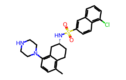 Cc1ccc(N2CCNCC2)c2c1CC[C@@H](NS(=O)(=O)c1ccc3c(Cl)cccc3c1)C2